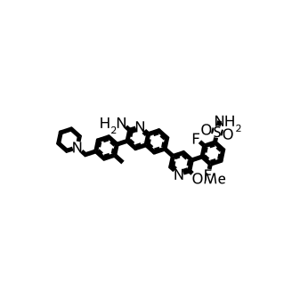 COc1ncc(-c2ccc3nc(N)c(-c4ccc(CN5CCCCC5)cc4C)cc3c2)cc1-c1c(F)ccc(S(N)(=O)=O)c1F